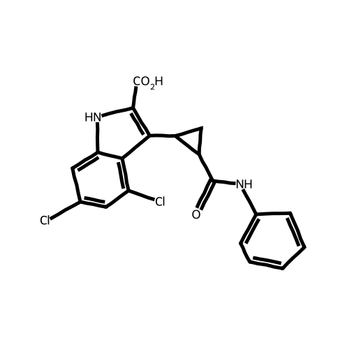 O=C(O)c1[nH]c2cc(Cl)cc(Cl)c2c1C1CC1C(=O)Nc1ccccc1